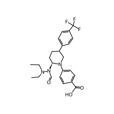 CCN(CC)N(C=O)[C@H]1CCC(c2ccc(C(F)(F)F)cc2)CN1c1ccc(C(=O)O)cc1